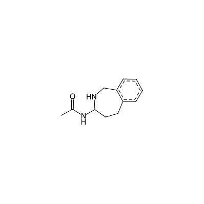 CC(=O)NC1CCc2ccccc2CN1